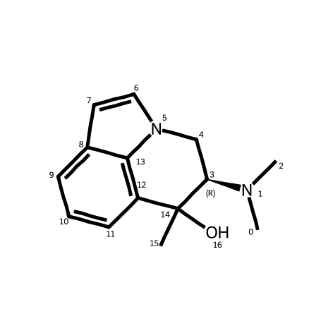 CN(C)[C@@H]1Cn2ccc3cccc(c32)C1(C)O